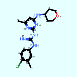 Cc1cc(NC2CCOCC2)nc(NC(=N)Nc2ccc(Cl)c(C)c2)n1